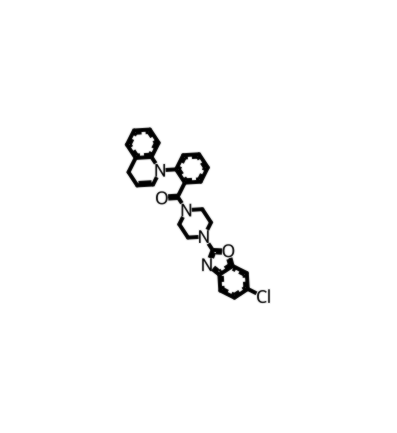 O=C(c1ccccc1N1C=CCc2ccccc21)N1CCN(c2nc3ccc(Cl)cc3o2)CC1